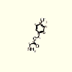 NCC(=O)OCc1ccc(C(F)(F)F)cc1